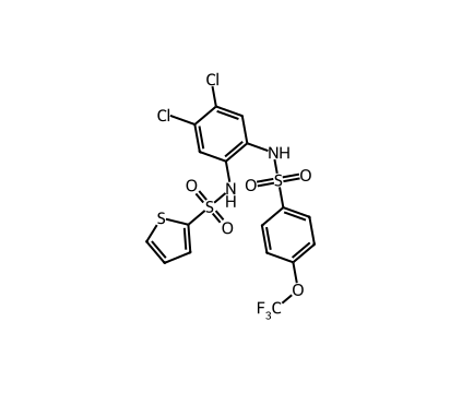 O=S(=O)(Nc1cc(Cl)c(Cl)cc1NS(=O)(=O)c1cccs1)c1ccc(OC(F)(F)F)cc1